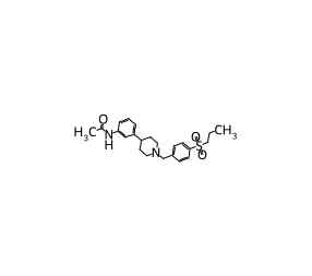 CCCS(=O)(=O)c1ccc(CN2CCC(c3cccc(NC(C)=O)c3)CC2)cc1